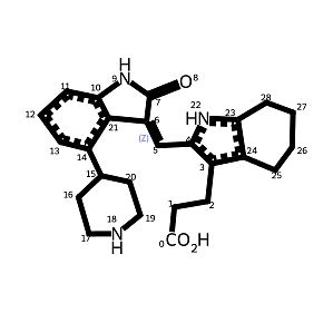 O=C(O)CCc1c(/C=C2\C(=O)Nc3cccc(C4CCNCC4)c32)[nH]c2c1CCCC2